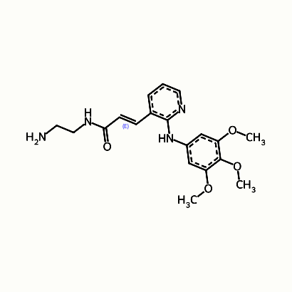 COc1cc(Nc2ncccc2/C=C/C(=O)NCCN)cc(OC)c1OC